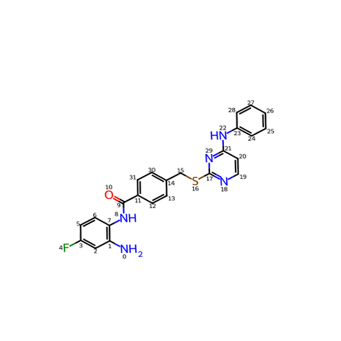 Nc1cc(F)ccc1NC(=O)c1ccc(CSc2nccc(Nc3ccccc3)n2)cc1